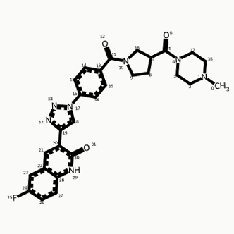 CN1CCN(C(=O)C2CCN(C(=O)c3ccc(-n4cc(-c5cc6cc(F)ccc6[nH]c5=O)nn4)cc3)C2)CC1